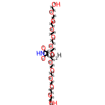 CC(=O)O.O=C1C=CC(=O)N1.OCCOCCOCCOCCOCCOCCOCCOCCOCCOCCOCCOCCO